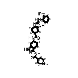 CC(C)c1ccccc1Nc1nc2ccc(C(=O)Nc3ccc4c(NC(=O)C5CCN(C)CC5)n[nH]c4c3)cc2[nH]1